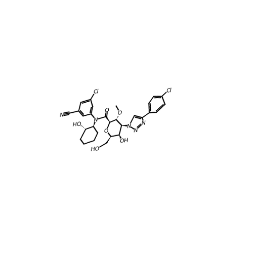 CO[C@@H]1[C@@H](n2cc(-c3ccc(Cl)cc3)nn2)[C@@H](O)[C@@H](CO)O[C@H]1C(=O)N(c1cc(Cl)cc(C#N)c1)[C@H]1CCCC[C@@H]1O